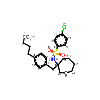 O=C(O)CCCc1ccc(CC2(NS(=O)(=O)c3ccc(Cl)cc3)CCCCCC2)cc1